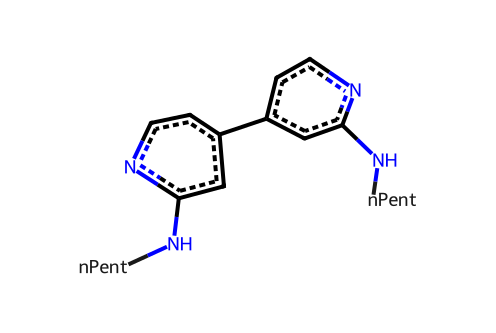 CCCCCNc1cc(-c2ccnc(NCCCCC)c2)ccn1